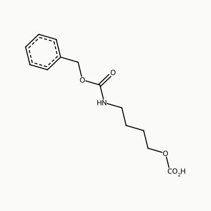 O=C(O)OCCCCNC(=O)OCc1ccccc1